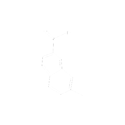 Cc1ccc2ccc(C(=O)C(C)C)cc2c1